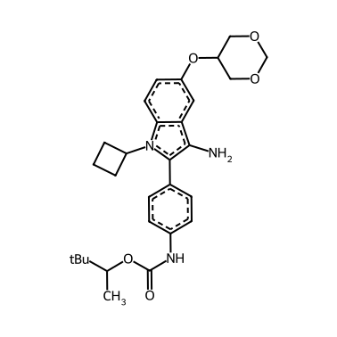 CC(OC(=O)Nc1ccc(-c2c(N)c3cc(OC4COCOC4)ccc3n2C2CCC2)cc1)C(C)(C)C